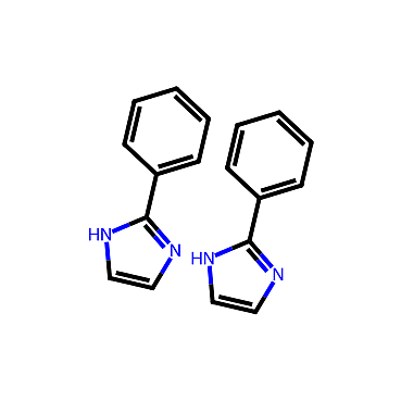 c1ccc(-c2ncc[nH]2)cc1.c1ccc(-c2ncc[nH]2)cc1